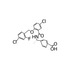 C[C@H](NC(=O)c1cc(Cl)ccc1OCc1ccc(Cl)cc1F)c1ccc(C(=O)O)cc1